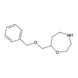 c1ccc(COCC2CCNCCO2)cc1